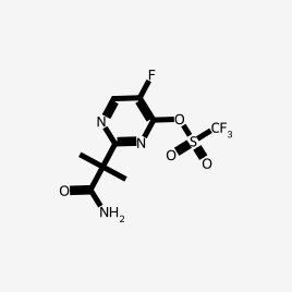 CC(C)(C(N)=O)c1ncc(F)c(OS(=O)(=O)C(F)(F)F)n1